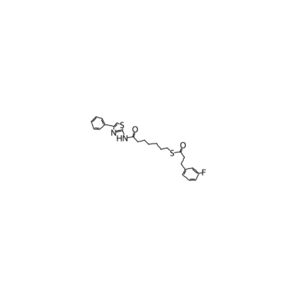 O=C(CCCCCCSC(=O)CCc1cccc(F)c1)Nc1nc(-c2ccccc2)cs1